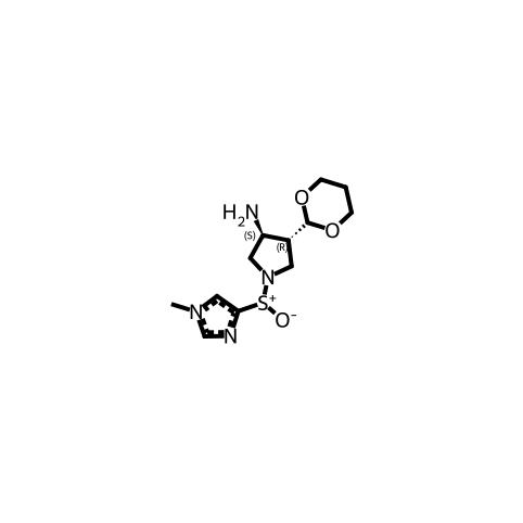 Cn1cnc([S+]([O-])N2C[C@@H](N)[C@H](C3OCCCO3)C2)c1